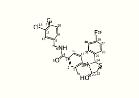 Cc1cc(C(=O)NCc2ccc(Cl)c(Cl)c2)ccc1N1C(O)CSC1c1ccc(F)cc1